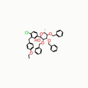 CCOc1ccc(Cc2cc([C@@]3(O)O[C@H](C)[C@@H](OCc4ccccc4)[C@H](OCc4ccccc4)[C@H]3OCc3ccccc3)ccc2Cl)cc1